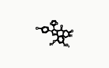 CC(C)Oc1cc([N+](=O)[O-])ccc1C1=N[C@@H](c2ccc(Cl)cc2)[C@@H](c2ncco2)N1C(=O)N1CCNC(=O)C1